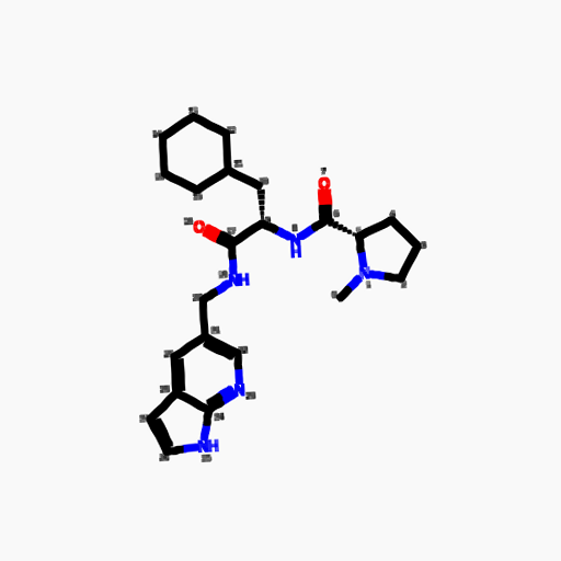 CN1CCC[C@H]1C(=O)N[C@@H](CC1CCCCC1)C(=O)NCc1cnc2[nH]ccc2c1